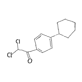 O=C(c1ccc(C2CCCCC2)cc1)C(Cl)Cl